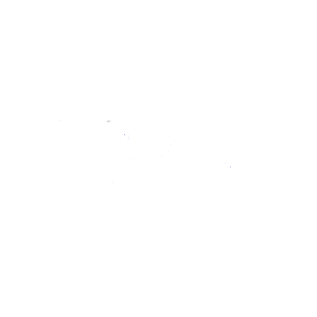 CC1(C)c2ccccc2C2=Cc3c(n(-c4cccc(-c5ccccc5)c4)c4ccc(-c5ccc(-n6c7ccccc7c7ccccc76)cc5)cc34)CC21